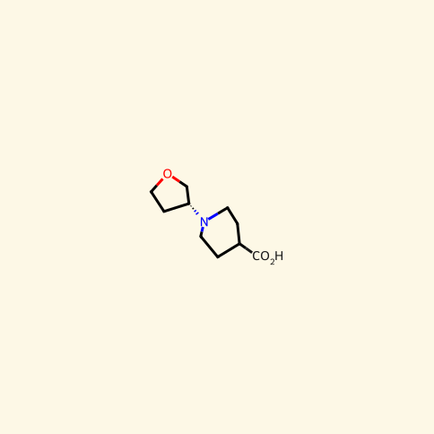 O=C(O)C1CCN([C@@H]2CCOC2)CC1